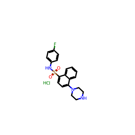 Cl.O=S(=O)(Nc1ccc(F)cc1)c1ccc(N2CCNCC2)c2ccccc12